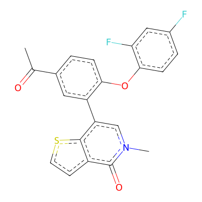 CC(=O)c1ccc(Oc2ccc(F)cc2F)c(-c2cn(C)c(=O)c3ccsc23)c1